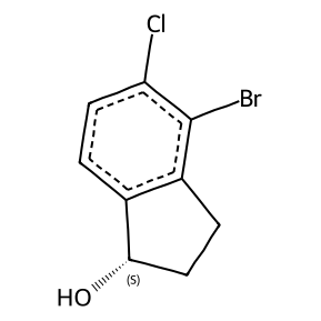 O[C@H]1CCc2c1ccc(Cl)c2Br